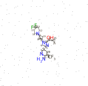 Nc1ncc(-c2cn(C34CC(N5CCC(F)(F)CC5)(C3)C4)c([C@@H](O)C3CC3)n2)cc1C(F)(F)F